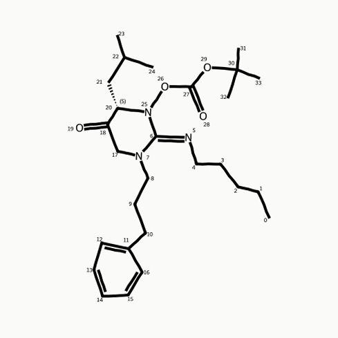 CCCCCN=C1N(CCCc2ccccc2)CC(=O)[C@H](CC(C)C)N1OC(=O)OC(C)(C)C